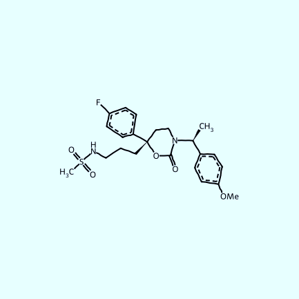 COc1ccc([C@H](C)N2CC[C@@](CCCNS(C)(=O)=O)(c3ccc(F)cc3)OC2=O)cc1